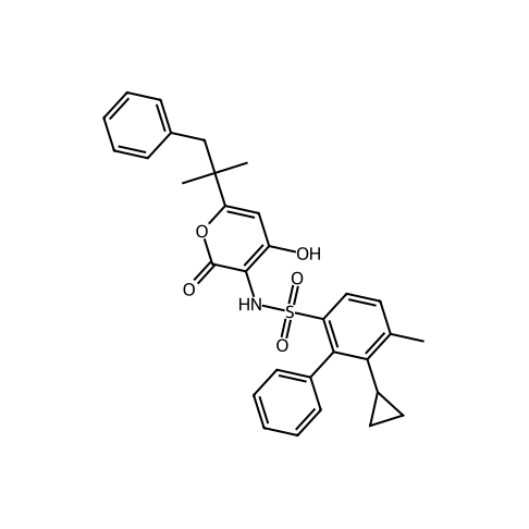 Cc1ccc(S(=O)(=O)Nc2c(O)cc(C(C)(C)Cc3ccccc3)oc2=O)c(-c2ccccc2)c1C1CC1